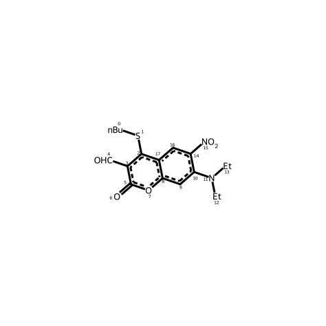 CCCCSc1c(C=O)c(=O)oc2cc(N(CC)CC)c([N+](=O)[O-])cc12